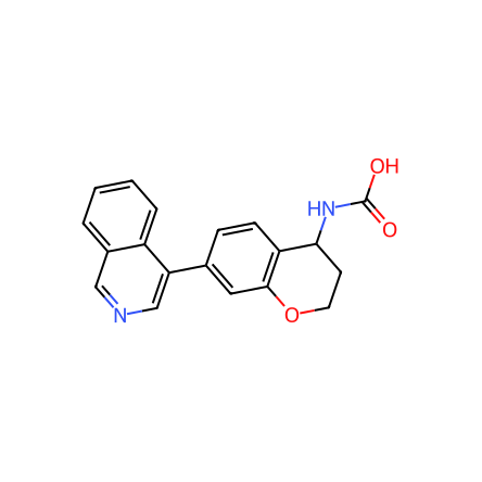 O=C(O)NC1CCOc2cc(-c3cncc4ccccc34)ccc21